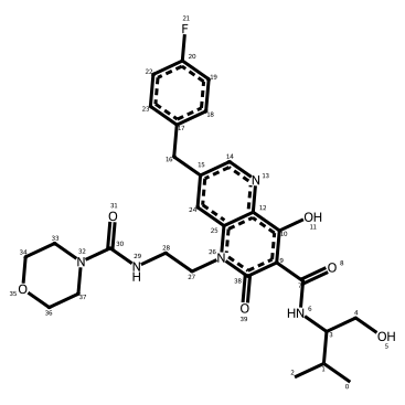 CC(C)C(CO)NC(=O)c1c(O)c2ncc(Cc3ccc(F)cc3)cc2n(CCNC(=O)N2CCOCC2)c1=O